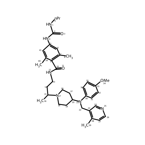 CCCNC(=O)Nc1cc(C)c(C(=O)NCCC(C)N2CCC(N(Cc3cnccc3C)c3ccc(OC)cc3)CC2)c(C)c1